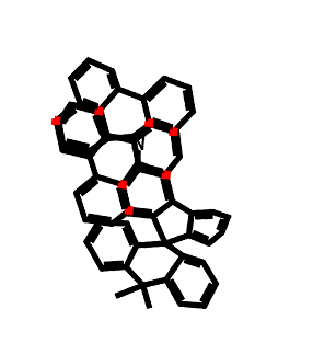 CC1(C)c2ccccc2C2(c3ccccc3-c3cc(N(c4ccccc4-c4ccccc4)c4ccccc4-c4ccccc4-c4ccccc4-c4ccccc4)ccc32)c2ccccc21